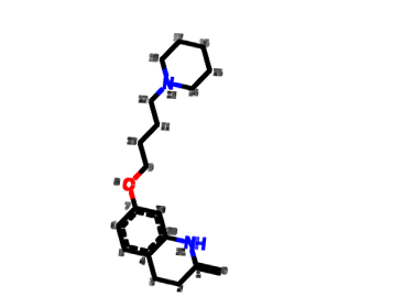 C=C1CCc2ccc(OCCCCN3CCCCC3)cc2N1